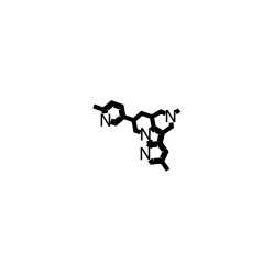 Cc1cnc2c(c1)c1c3n2CC(c2ccc(C)nc2)CC3CN(C)C1